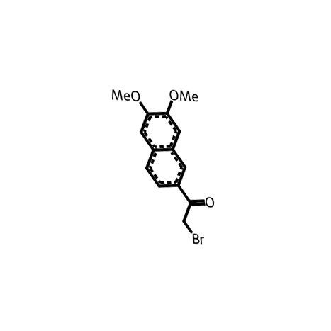 COc1cc2ccc(C(=O)CBr)cc2cc1OC